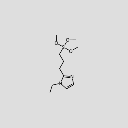 CCn1ccnc1CCC[Si](OC)(OC)OC